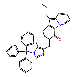 CCCc1c2c(n3ccccc13)C(=O)C(Cc1ncn(C(c3ccccc3)(c3ccccc3)c3ccccc3)c1C)CC2